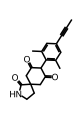 CC#Cc1cc(C)c(C2C(=O)CC3(CCNC3=O)CC2=O)c(C)c1